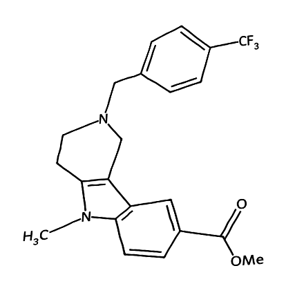 COC(=O)c1ccc2c(c1)c1c(n2C)CCN(Cc2ccc(C(F)(F)F)cc2)C1